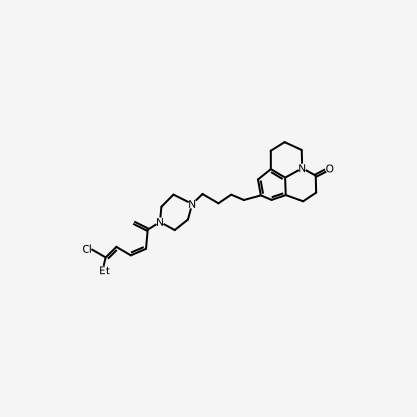 C=C(/C=C\C=C(\Cl)CC)N1CCN(CCCCc2cc3c4c(c2)CCC(=O)N4CCC3)CC1